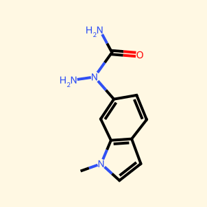 Cn1ccc2ccc(N(N)C(N)=O)cc21